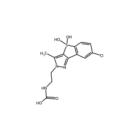 Cc1c2c(nn1CCNC(=O)O)-c1cc(Cl)ccc1S2(O)O